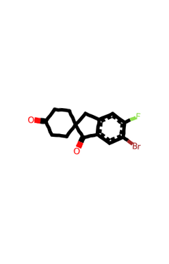 O=C1CCC2(CC1)Cc1cc(F)c(Br)cc1C2=O